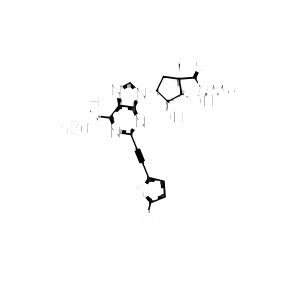 CCCCNc1nc(C#Cc2ccc(Cl)s2)nc2c1ncn2[C@@H]1C[C@](C)(C(=O)NC)[C@@H](O)[C@H]1O